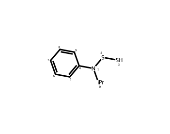 CC(C)N(SS)c1ccccc1